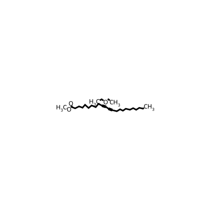 CCCCCCCCCCC#CC#CCCCCCCCCC(=O)OC.CCOCC